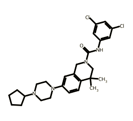 CC1(C)CN(C(=O)Nc2cc(Cl)cc(Cl)c2)Cc2cc(N3CCN(C4CCCC4)CC3)ccc21